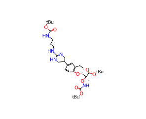 CC(C)(C)OC(=O)NCCCNC1=NC[C@@H](c2ccc3c(c2)CC[C@H]([C@](C)(ONC(=O)OC(C)(C)C)C(=O)OC(C)(C)C)O3)CN1